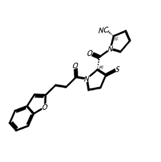 N#C[C@@H]1CCCN1C(=O)[C@@H]1C(=S)CCN1C(=O)CCc1cc2ccccc2o1